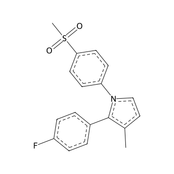 Cc1ccn(-c2ccc(S(C)(=O)=O)cc2)c1-c1ccc(F)cc1